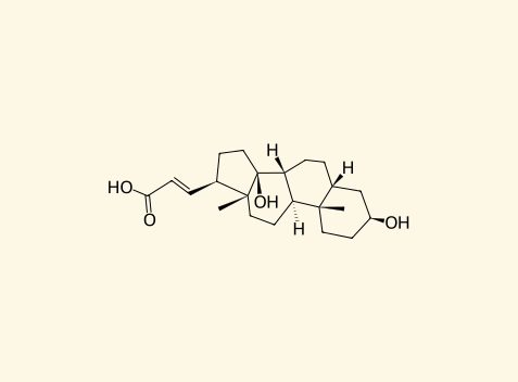 C[C@]12CC[C@H](O)C[C@H]1CC[C@@H]1[C@@H]2CC[C@]2(C)[C@@H](/C=C/C(=O)O)CC[C@]12O